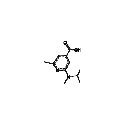 Cc1cc(C(=O)O)cc(N(C)C(C)C)n1